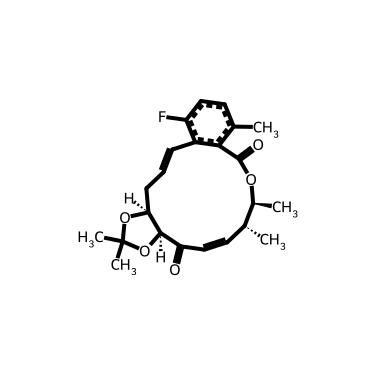 Cc1ccc(F)c2c1C(=O)O[C@@H](C)[C@H](C)/C=C\C(=O)[C@H]1OC(C)(C)O[C@H]1C/C=C/2